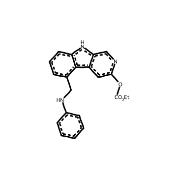 CCOC(=O)Oc1cc2c(cn1)[nH]c1cccc(CNc3ccccc3)c12